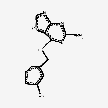 Nc1nc(NCc2cccc(O)c2)c2[nH]cnc2n1